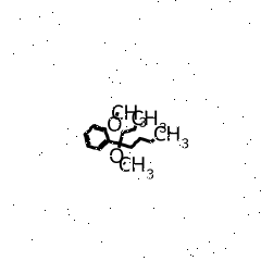 CCCCC(OC)(c1ccccc1)C(CC)OC